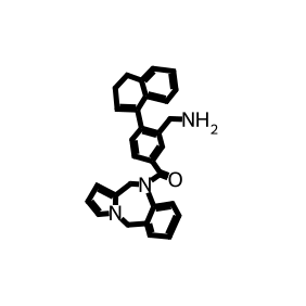 NCc1cc(C(=O)N2Cc3cccn3Cc3ccccc32)ccc1C1=CCCc2ccccc21